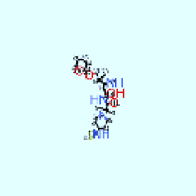 CSNC1CCN(C(C)(C)C(=O)N/C(O)=C/C(=N)C(C)(C)COC2CCCCO2)CC1